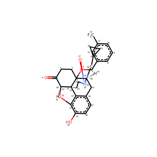 O=C1CCC2(OCc3cccc(C(F)(F)F)c3)[C@H]3Cc4ccc(O)c5c4[C@@]2(CC[N@+]3([O-])CC2CC2)[C@H]1O5